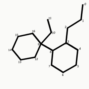 CCC[C]1CCCCC1C1(CC)CCCCC1